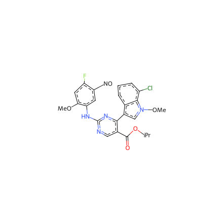 COc1cc(F)c(N=O)cc1Nc1ncc(C(=O)OC(C)C)c(-c2cn(OC)c3c(Cl)cccc23)n1